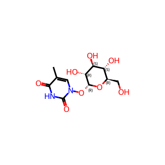 Cc1cn(O[C@H]2O[C@H](CO)[C@@H](O)[C@H](O)[C@H]2O)c(=O)[nH]c1=O